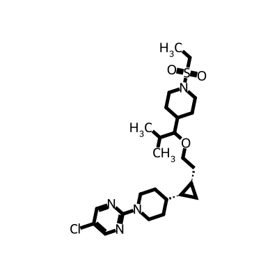 CCS(=O)(=O)N1CCC(C(OCC[C@@H]2C[C@@H]2C2CCN(c3ncc(Cl)cn3)CC2)C(C)C)CC1